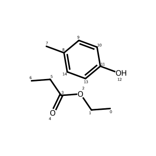 CCOC(=O)CC.Cc1ccc(O)cc1